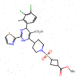 CCOC(=O)C1=C(C2CCN(S(=O)(=O)C3CC(C(=O)OC(C)(C)C)C3)CC2)NC(c2nccs2)=NC1c1ccc(F)c(F)c1C